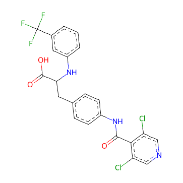 O=C(Nc1ccc(CC(Nc2cccc(C(F)(F)F)c2)C(=O)O)cc1)c1c(Cl)cncc1Cl